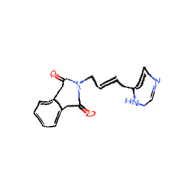 O=C1c2ccccc2C(=O)N1C/C=C/c1cnc[nH]1